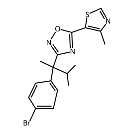 Cc1ncsc1-c1nc(C(C)(c2ccc(Br)cc2)C(C)C)no1